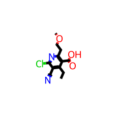 CCc1c(C#N)c(Cl)nc(CCOC)c1C(=O)O